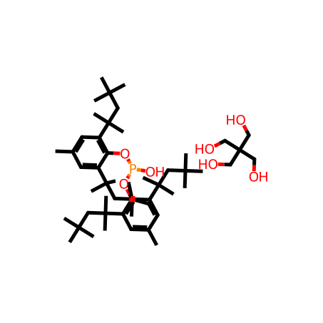 Cc1cc(C(C)(C)CC(C)(C)C)c(OP(O)Oc2c(C(C)(C)CC(C)(C)C)cc(C)cc2C(C)(C)CC(C)(C)C)c(C(C)(C)CC(C)(C)C)c1.OCC(CO)(CO)CO